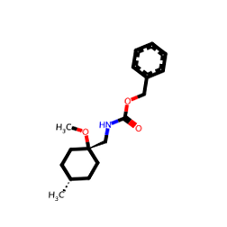 CO[C@]1(CNC(=O)OCc2ccccc2)CC[C@H](C)CC1